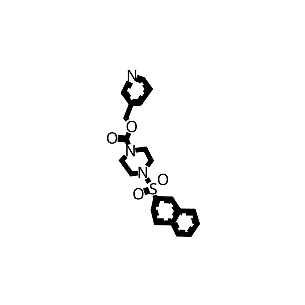 O=C(OCc1cccnc1)N1CCN(S(=O)(=O)c2ccc3ccccc3c2)CC1